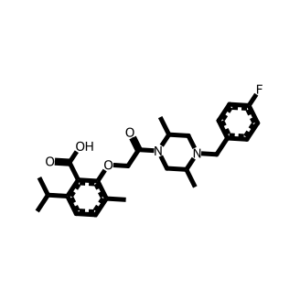 Cc1ccc(C(C)C)c(C(=O)O)c1OCC(=O)N1CC(C)N(Cc2ccc(F)cc2)CC1C